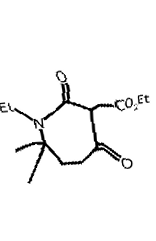 CCOC(=O)C1C(=O)CC(C)(C)N(CC)C1=O